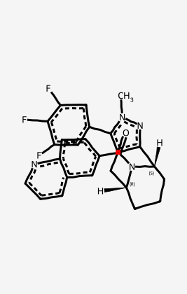 Cn1nc2c(c1-c1cc(F)c(F)c(F)c1)C[C@H]1CCC[C@@H]2N1C(=O)c1ccc2ncccc2c1